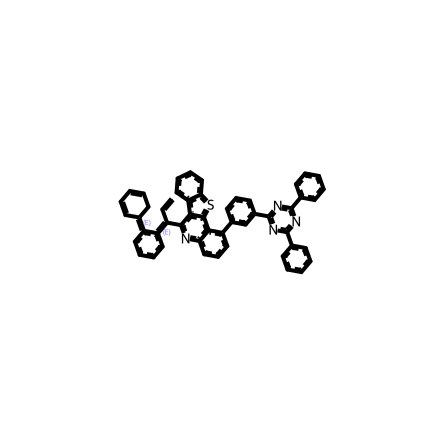 C=C/C(c1nc2cccc(-c3cccc(-c4nc(-c5ccccc5)nc(-c5ccccc5)n4)c3)c2c2sc3ccccc3c12)=c1/cccc/c1=C1\C=CC=CC1